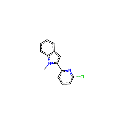 Cn1c(-c2cccc(Cl)n2)cc2ccccc21